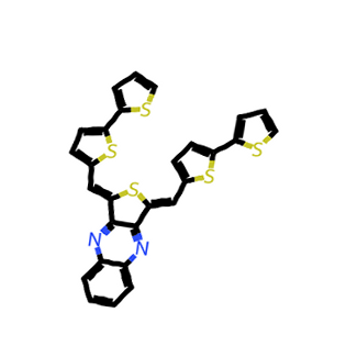 C(/c1ccc(-c2cccs2)s1)=c1/s/c(=C\c2ccc(-c3cccs3)s2)c2nc3ccccc3nc12